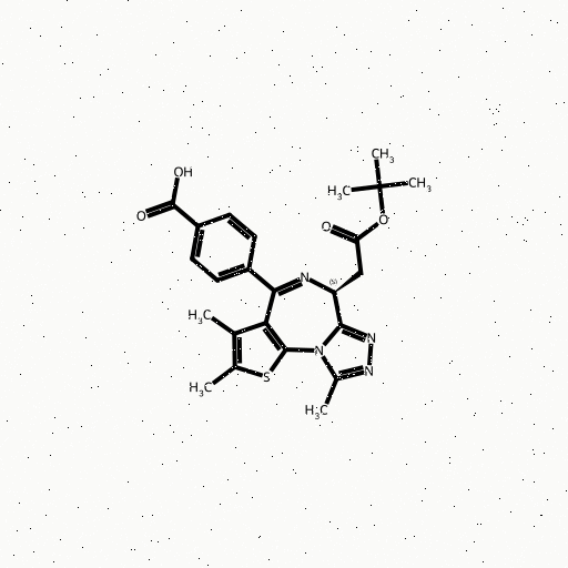 Cc1sc2c(c1C)C(c1ccc(C(=O)O)cc1)=N[C@@H](CC(=O)OC(C)(C)C)c1nnc(C)n1-2